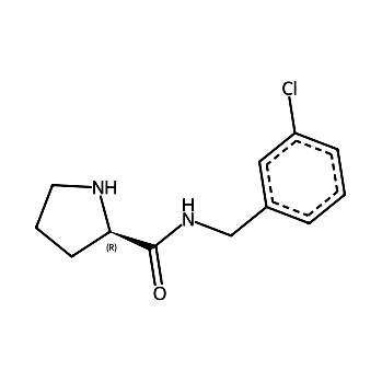 O=C(NCc1cccc(Cl)c1)[C@H]1CCCN1